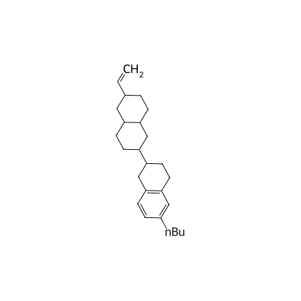 C=CC1CCC2CC(C3CCc4cc(CCCC)ccc4C3)CCC2C1